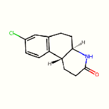 O=C1CC[C@@H]2c3ccc(Cl)cc3CC[C@H]2N1